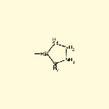 C[SiH]1[SiH2][SiH2][SiH2][SiH2]1